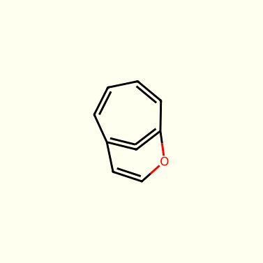 C1=C2C=CC=CC=1OC=C2